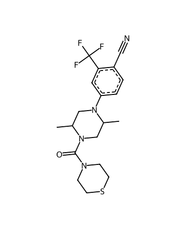 CC1CN(c2ccc(C#N)c(C(F)(F)F)c2)C(C)CN1C(=O)N1CCSCC1